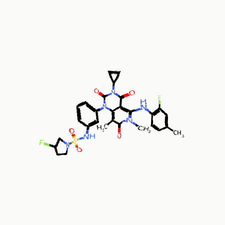 Cc1ccc(Nc2c3c(=O)n(C4CC4)c(=O)n(-c4cccc(NS(=O)(=O)N5CCC(F)C5)c4)c3c(C)c(=O)n2C)c(F)c1